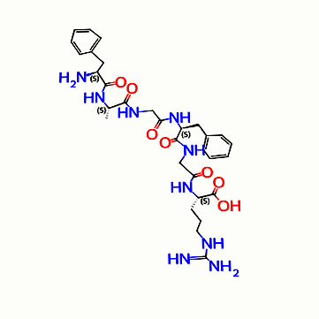 C[C@H](NC(=O)[C@@H](N)Cc1ccccc1)C(=O)NCC(=O)N[C@@H](Cc1ccccc1)C(=O)NCC(=O)N[C@@H](CCCNC(=N)N)C(=O)O